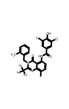 [2H]C([2H])([2H])c1nc2c(C)ccc(NC(=O)c3cc(Cl)c(O)c(Cl)c3)c2c(=O)n1Cc1ccccc1C(F)(F)F